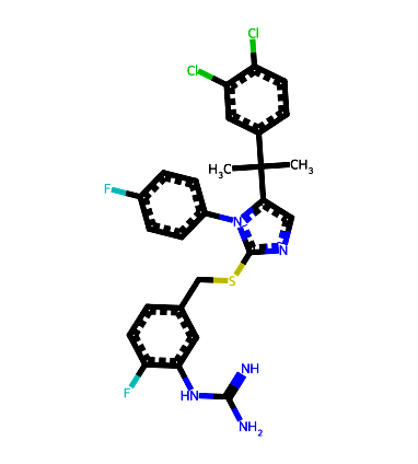 CC(C)(c1ccc(Cl)c(Cl)c1)c1cnc(SCc2ccc(F)c(NC(=N)N)c2)n1-c1ccc(F)cc1